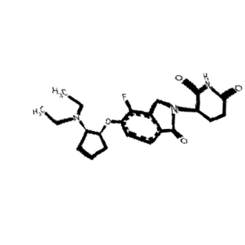 CCN(CC)[C@@H]1CCC[C@@H]1Oc1ccc2c(c1F)CN(C1CCC(=O)NC1=O)C2=O